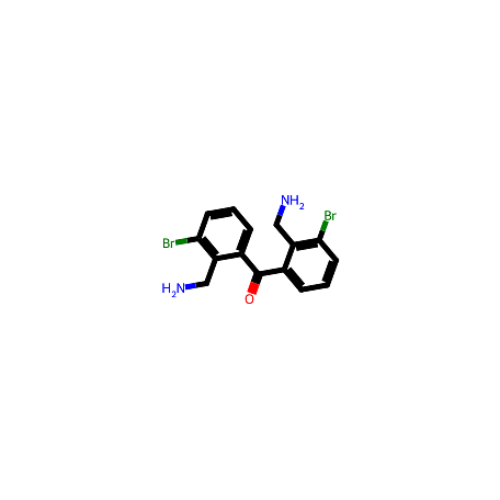 NCc1c(Br)cccc1C(=O)c1cccc(Br)c1CN